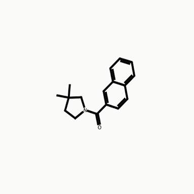 CC1(C)C[CH]N(C(=O)c2ccc3ccccc3c2)C1